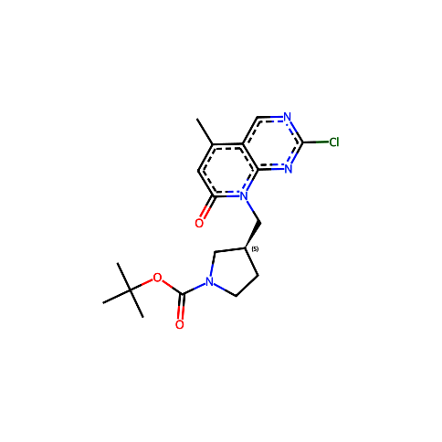 Cc1cc(=O)n(C[C@H]2CCN(C(=O)OC(C)(C)C)C2)c2nc(Cl)ncc12